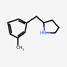 Cc1cccc(CC2CCCN2)c1